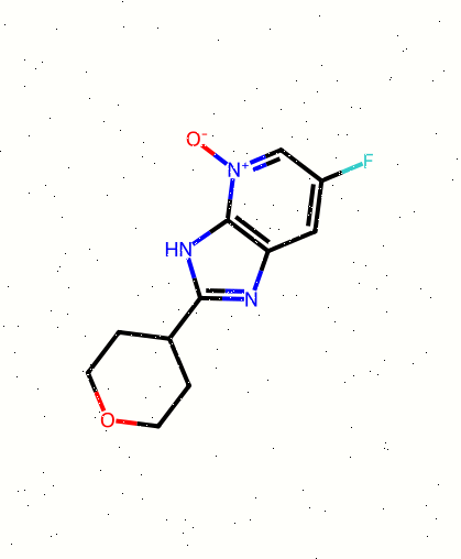 [O-][n+]1cc(F)cc2nc(C3CCOCC3)[nH]c21